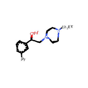 CCOC(=O)N1CCN(CC(O)c2cccc(C(C)C)c2)CC1